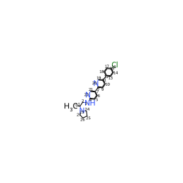 CC(CNc1ccc(-c2ccc(-c3ccc(Cl)cc3)cn2)cn1)N1CCCC1